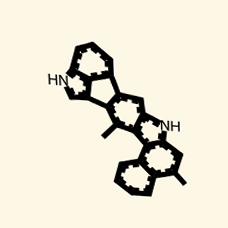 Cc1cc2[nH]c3cc4c(c(C)c3c2c2ccccc12)-c1c[nH]c2cccc-4c12